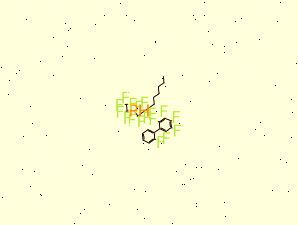 CCCCCCC(F)(F)C(F)(F)C(F)(F)PC(F)(F)C(F)(F)F.Fc1ccccc1-c1c(F)c(F)c(F)c(F)c1F